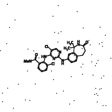 CNC(=O)c1cccc(Cl)c1Nc1nc(Nc2ccc3c(c2)C(C)(C)NC(=O)CC3)ncc1Cl